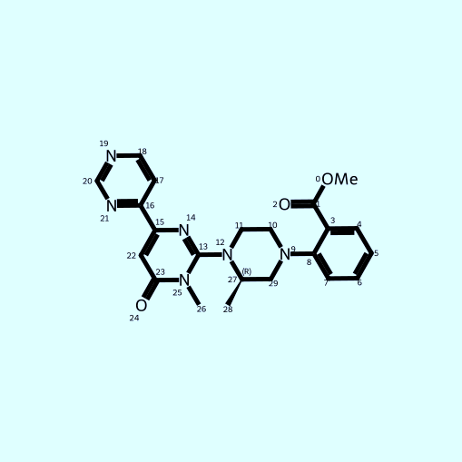 COC(=O)c1ccccc1N1CCN(c2nc(-c3ccncn3)cc(=O)n2C)[C@H](C)C1